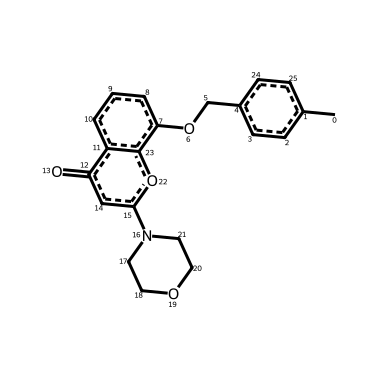 Cc1ccc(COc2cccc3c(=O)cc(N4CCOCC4)oc23)cc1